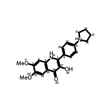 COc1cc2[nH]c(-c3ccc(N4CCCC4)cc3)c(O)c(=O)c2cc1OC